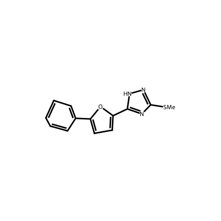 CSc1n[nH]c(-c2ccc(-c3ccccc3)o2)n1